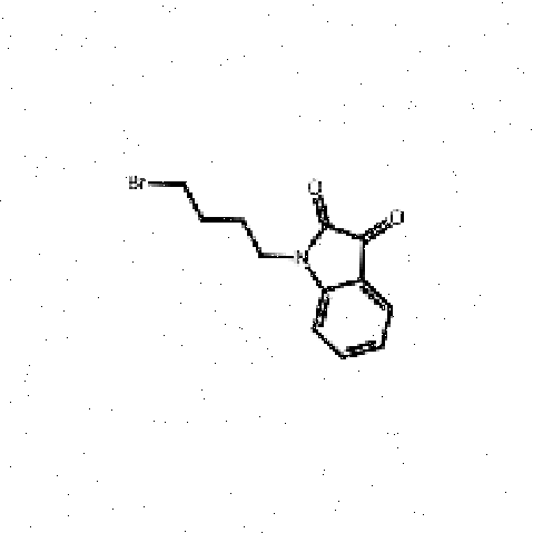 O=C1C(=O)N(CCCCBr)c2ccccc21